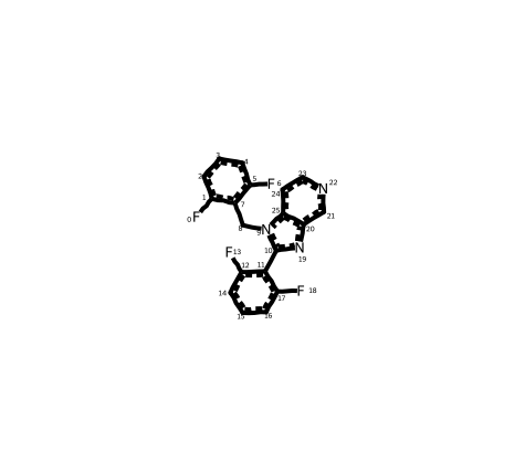 Fc1cccc(F)c1Cn1c(-c2c(F)cccc2F)nc2cnccc21